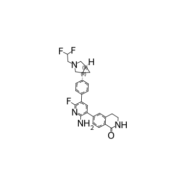 Nc1nc(F)c(-c2ccc([C@@]34C[C@@H]3CN(CC(F)F)C4)cc2)cc1-c1ccc2c(c1)CCNC2=O